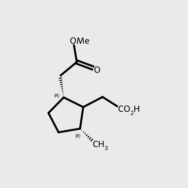 COC(=O)C[C@H]1CC[C@@H](C)C1CC(=O)O